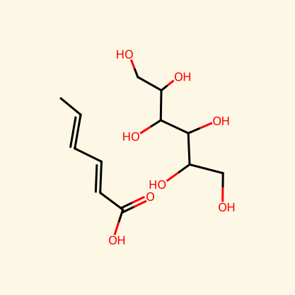 C/C=C/C=C/C(=O)O.OCC(O)C(O)C(O)C(O)CO